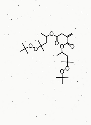 C=C(CC(=O)OC(C)CC(C)(C)OOC(C)(C)C)C(=O)OC(C)CC(C)(C)OOC(C)(C)C